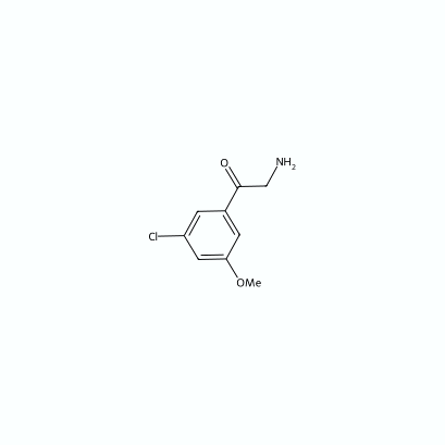 COc1cc(Cl)cc(C(=O)CN)c1